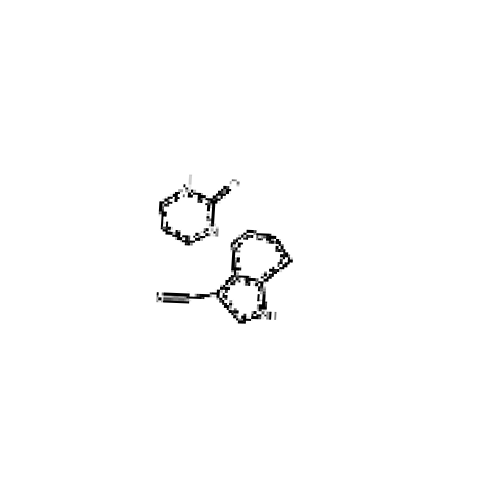 N#Cc1c[nH]c2ccccc12.O=c1nccc[nH]1